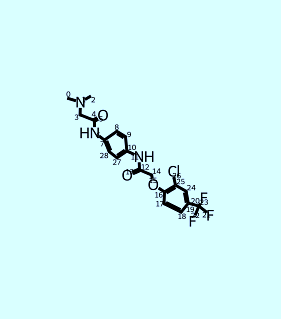 CN(C)CC(=O)Nc1ccc(NC(=O)COc2ccc(C(F)(F)F)cc2Cl)cc1